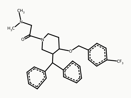 CN(C)CC(=O)N1CCC(OCc2ccc(C(F)(F)F)cc2)C(C(c2ccccc2)c2ccccc2)C1